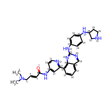 CN(C)CC=CC(=O)Nc1ccnc(-c2cccc3cnc(Nc4ccc(NC5CCNC5)cc4)nc23)c1